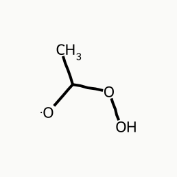 CC([O])OO